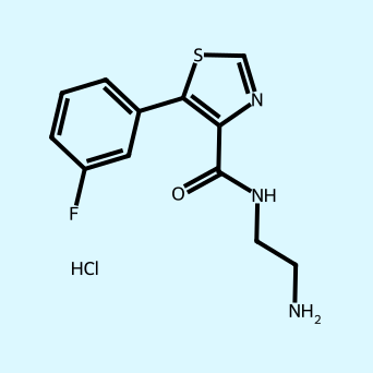 Cl.NCCNC(=O)c1ncsc1-c1cccc(F)c1